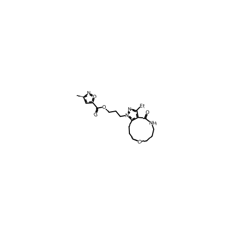 CCc1nn(CCCOC(=O)c2cc(C)no2)c2c1C(=O)NCCCOCCC2